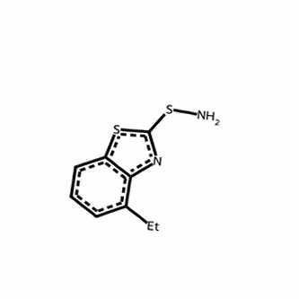 CCc1cccc2sc(SN)nc12